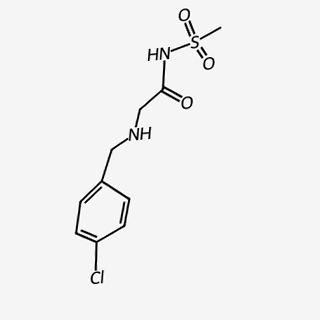 CS(=O)(=O)NC(=O)CNCc1ccc(Cl)cc1